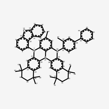 Cc1cc2c3c(c1)N(c1cccc4oc5ccccc5c14)c1cc4c(cc1B3c1cc3c(cc1N2c1ccc(-c2ccccc2)cc1C)C(C)(C)CCC3(C)C)C(C)(C)CCC4(C)C